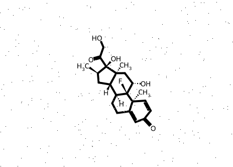 C[C@@H]1C[C@H]2[C@@H]3CCC4=CC(=O)C=C[C@]4(C)[C@@]3(F)[C@@H](O)C[C@]2(C)[C@@]1(O)C(=O)[CH]O